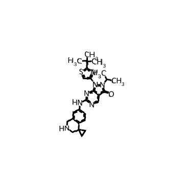 CC(C)n1c(=O)c2cnc(Nc3ccc4c(c3)CNCC43CC3)nc2n1-c1csc(C(C)(C)C)n1